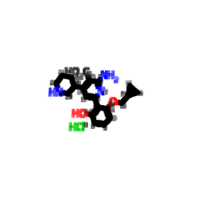 Cl.Nc1nc(-c2c(O)cccc2OCC2CC2)cc(C2CCCNC2)c1C(=O)O